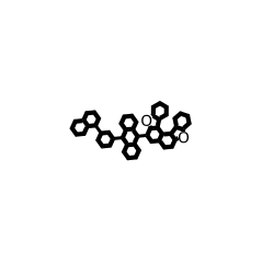 c1cc(-c2cccc3ccccc23)cc(-c2c3ccccc3c(-c3cc4ccc5oc6ccccc6c5c4c4c3oc3ccccc34)c3ccccc23)c1